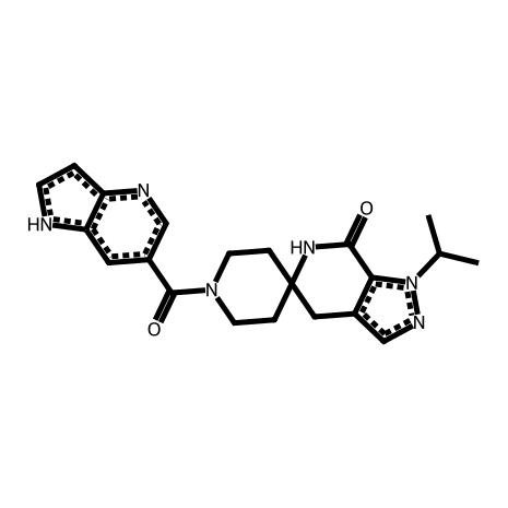 CC(C)n1ncc2c1C(=O)NC1(CCN(C(=O)c3cnc4cc[nH]c4c3)CC1)C2